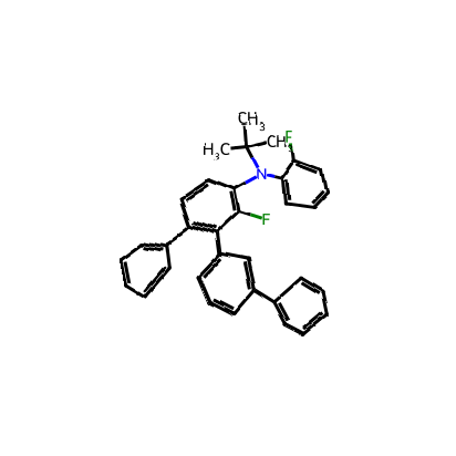 CC(C)(C)N(c1ccccc1F)c1ccc(-c2ccccc2)c(-c2cccc(-c3ccccc3)c2)c1F